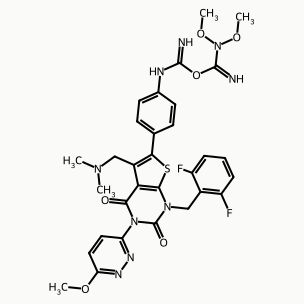 COc1ccc(-n2c(=O)c3c(CN(C)C)c(-c4ccc(NC(=N)OC(=N)N(OC)OC)cc4)sc3n(Cc3c(F)cccc3F)c2=O)nn1